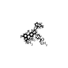 C=CC(=O)N1CCN(c2nc(OCC34CCCN3CC(F)C4)nc3c(F)c(-c4ccc(F)c5sc(N)c(C#N)c45)c(C(F)(F)F)cc23)CC1